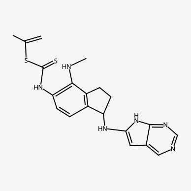 C=C(C)SC(=S)Nc1ccc2c(c1NC)CCC2Nc1cc2cncnc2[nH]1